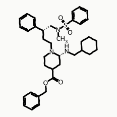 CN(C[C@H](CCN1CCC(C(=O)OCc2ccccc2)C[C@H]1NCC1CCCCC1)c1ccccc1)S(=O)(=O)c1ccccc1